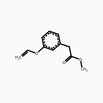 C=COc1cccc(CC(=O)OC)c1